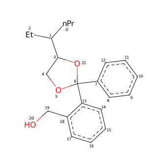 CCCC(CC)C1COC(c2ccccc2)(c2ccccc2CO)O1